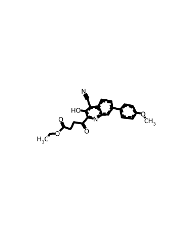 CCOC(=O)CCC(=O)c1nc2cc(-c3ccc(OC)cc3)ccc2c(C#N)c1O